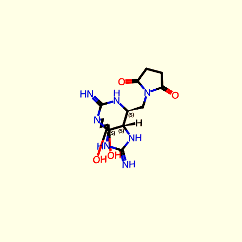 N=C1N[C@H]2[C@H](CN3C(=O)CCC3=O)NC(=N)N3CCC(O)(O)[C@]23N1